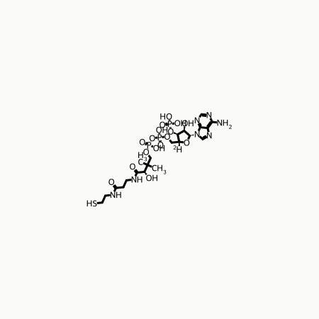 [2H][C@]1(COP(=O)(O)OP(=O)(O)OCC(C)(C)[C@@H](O)C(=O)NCCC(=O)NCCS)O[C@@H](n2cnc3c(N)ncnc32)[C@H](O)[C@@H]1OP(=O)(O)O